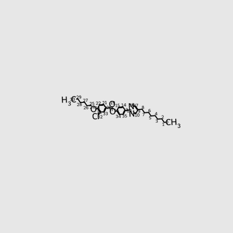 CCCCCCCCCc1cnc(-c2ccc(OC(=O)c3ccc(OCCCCCC)c(Cl)c3)cc2)nc1